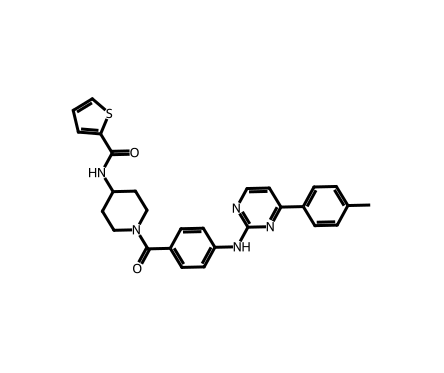 Cc1ccc(-c2ccnc(Nc3ccc(C(=O)N4CCC(NC(=O)c5cccs5)CC4)cc3)n2)cc1